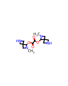 CN1CC2(CNC2)C1OC(=O)C(=O)OC1N(C)CC12CNC2